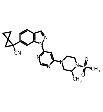 C[C@H]1CN(c2cc(-n3ncc4ccc([C@]5(C#N)CC56CC6)cc43)ncn2)CCN1S(C)(=O)=O